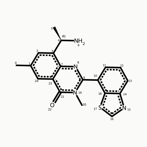 Cc1cc([C@@H](C)N)c2nc(-c3cccc4ncsc34)n(C)c(=O)c2c1